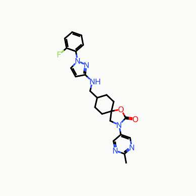 Cc1ncc(N2CC3(CCC(CNc4ccn(-c5ccccc5F)n4)CC3)OC2=O)cn1